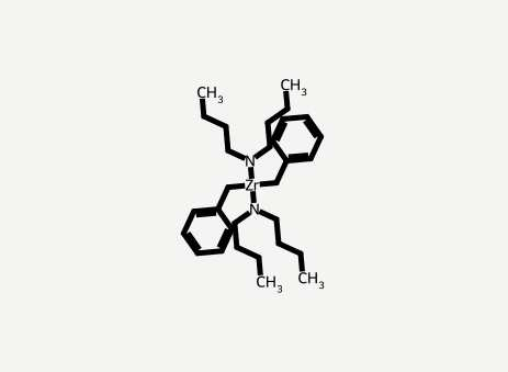 CCCC[N](CCCC)[Zr]([CH2]c1ccccc1)([CH2]c1ccccc1)[N](CCCC)CCCC